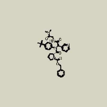 CN(C)C(=O)CNC(=O)C(c1cccnc1)N(C(=O)[C@H]1CCCN1C(=O)OCc1ccccc1)c1ccc(C(C)(C)C)cc1